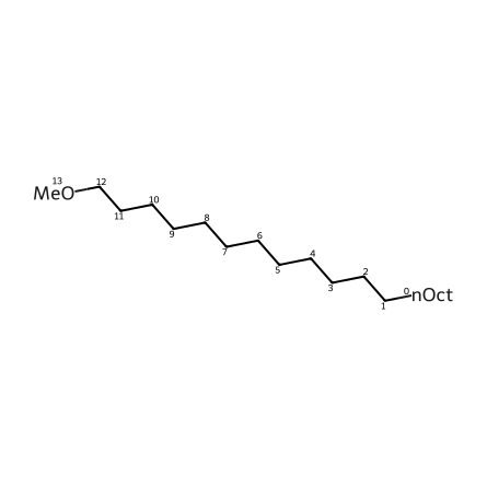 CCCCCCCCCCCCCCCCCCCCOC